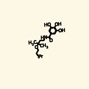 CC(C)CCOC(C)(C)CCNC(=O)c1cc(O)c(O)c(O)c1